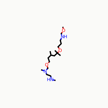 CNCCN(C)COCCC(C)CC(C)(C)OCCCNCOC